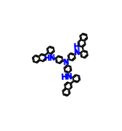 c1ccc(-c2ccc3ccccc3c2)c(Nc2ccc(N(c3ccc(Nc4ccccc4-c4ccc5ccccc5c4)cc3)c3ccc(Nc4ccccc4-c4ccc5ccccc5c4)cc3)cc2)c1